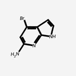 Nc1cc(Br)c2cc[nH]c2n1